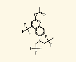 CC(=O)Oc1cc(C(F)(F)F)c2cc(N(CC(F)(F)F)CC(F)(F)F)ccc2n1